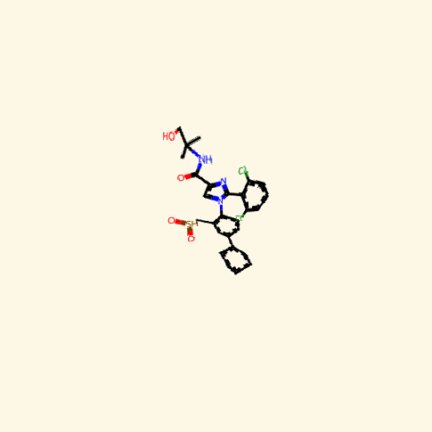 CC(C)(CO)NC(=O)c1cn(-c2ccc(-c3ccccc3)cc2C[SH](=O)=O)c(-c2c(Cl)cccc2Cl)n1